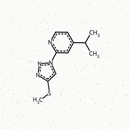 CSc1cn(-c2cc(C(C)C)ccn2)nn1